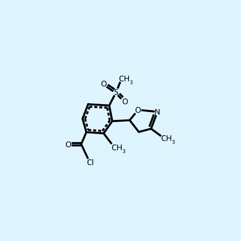 CC1=NOC(c2c(S(C)(=O)=O)ccc(C(=O)Cl)c2C)C1